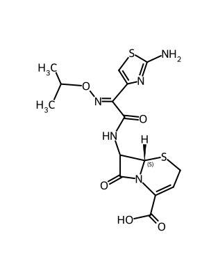 CC(C)ON=C(C(=O)NC1C(=O)N2C(C(=O)O)=CCS[C@@H]12)c1csc(N)n1